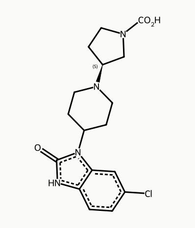 O=C(O)N1CC[C@H](N2CCC(n3c(=O)[nH]c4ccc(Cl)cc43)CC2)C1